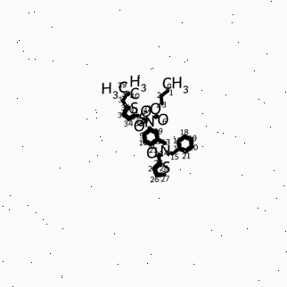 CCCCOC(=O)N(c1cccc(CN(Cc2ccccc2)C(=O)c2cccs2)c1)S(=O)(=O)c1ccc(CC(C)C)s1